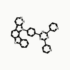 c1cncc(-c2nc(-c3ccc(-n4c5nnccc5c5ccc6oc7ccccc7c6c54)cc3)nc(-c3cccnc3)n2)c1